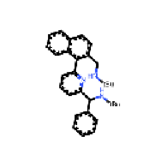 CC(C)(C)NCc1ccc2ccccc2c1-c1cccc(C(NC(C)(C)C)c2ccccc2)n1